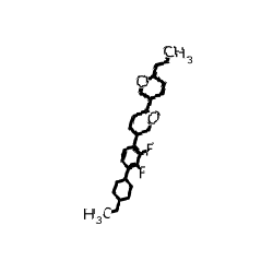 CCCC1CCC(C2CCC(c3ccc(C4CCC(CC)CC4)c(F)c3F)CO2)CO1